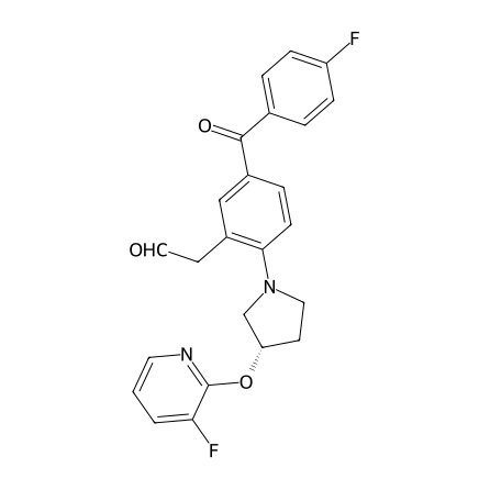 O=CCc1cc(C(=O)c2ccc(F)cc2)ccc1N1CC[C@H](Oc2ncccc2F)C1